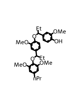 CCCc1cc(OC)c(OC(CC)c2ccc(OC(CC)c3ccc(O)c(OC)c3)c(OC)c2)c(OC)c1